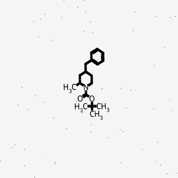 CC1CC(Cc2ccccc2)CCN1C(=O)OC(C)(C)C